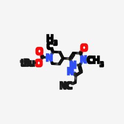 C[C@H]1CC(c2cc(=O)n(C)c3cc(CC#N)nn23)CCN1C(=O)OC(C)(C)C